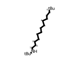 CC(C)(C)CCCCCCCCCCCCNC(C)(C)C